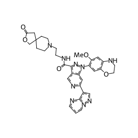 COc1cc2c(cc1-n1nc(C(=O)NCCN3CCC4(CC3)COC(=O)C4)c3cnc(-c4cnn5cccnc45)cc31)OCCN2